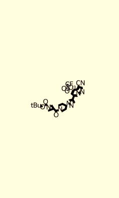 CC(C)(C)OC(=O)N1CC(C(=O)N2CCC(n3cc(-c4cc(OS(=O)(=O)C(F)(F)F)c5c(C#N)cnn5c4)cn3)CC2)C1